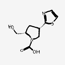 O=C(O)N1C[C@@H](c2nccs2)C[C@H]1CO